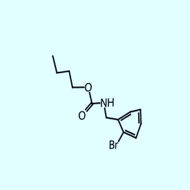 CCCCOC(=O)NCc1ccccc1Br